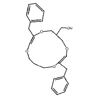 OCC1COC=C(Cc2ccccc2)OCCCOC=C(Cc2ccccc2)OC1